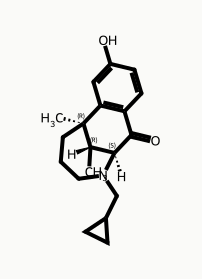 C[C@H]1[C@H]2C(=O)c3ccc(O)cc3[C@]1(C)CCCN2CC1CC1